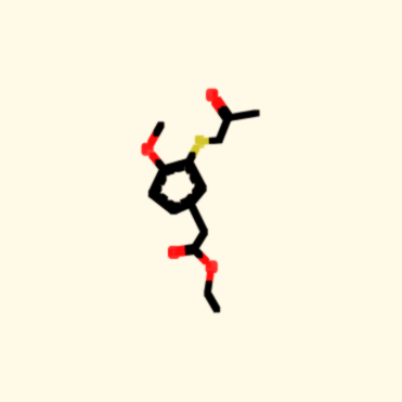 CCOC(=O)Cc1ccc(OC)c(SCC(C)=O)c1